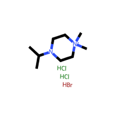 Br.CC(C)N1CC[N+](C)(C)CC1.Cl.Cl